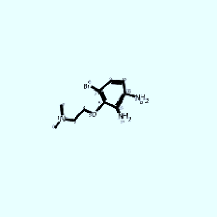 CN(C)CCOc1c(Br)ccc(N)c1N